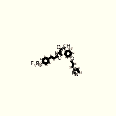 CN(C(=O)c1coc(/C=C/c2ccc(OC(F)(F)F)cc2)n1)c1ccc(OCCCn2ccnn2)cc1